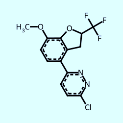 COc1ccc(-c2ccc(Cl)nn2)c2c1OC(C(F)(F)F)C2